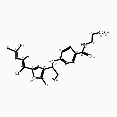 CC/C(C)=C\C(C)=C(/CC)c1cc(C(CC(C)C)Nc2ccc(C(=O)NCCC(=O)O)cc2)c(C)o1